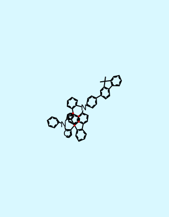 CC1(C)c2ccccc2-c2ccc(-c3ccc(N(c4ccc5c(c4)C4(c6ccccc6-5)c5ccccc5N(c5ccccc5)c5ccccc54)c4ccccc4-c4ccccc4)cc3)cc21